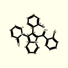 O=C(c1ccccc1Br)c1c(-c2ccccc2Br)c(-n2ccccc2=O)c2ccccn12